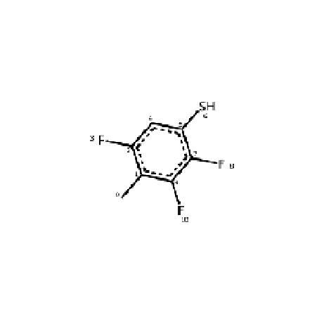 Cc1c(F)cc(S)c(F)c1F